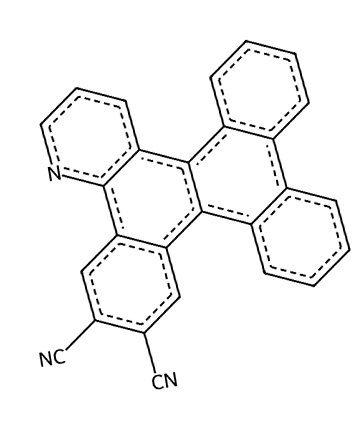 N#Cc1cc2c(cc1C#N)c1c3ccccc3c3ccccc3c1c1cccnc21